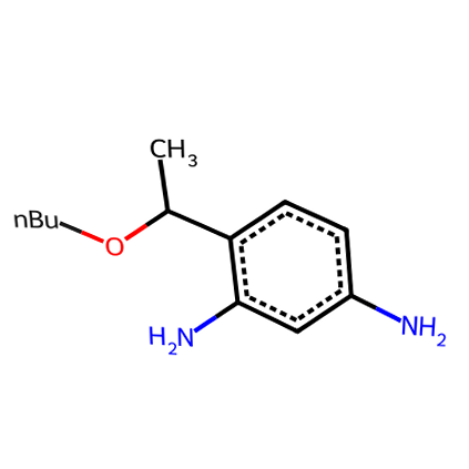 CCCCOC(C)c1ccc(N)cc1N